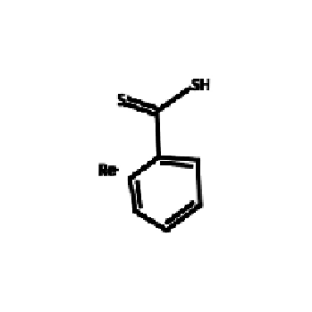 S=C(S)c1ccccc1.[Re]